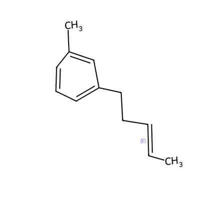 C/C=C/CCc1cccc(C)c1